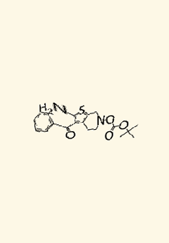 CC(C)(C)OC(=O)ON1CCc2c(sc(N)c2C(=O)c2ccccc2)C1